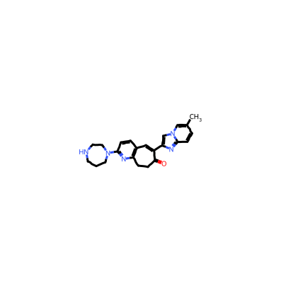 Cc1ccc2nc(C3=Cc4ccc(N5CCCNCC5)nc4CCC3=O)cn2c1